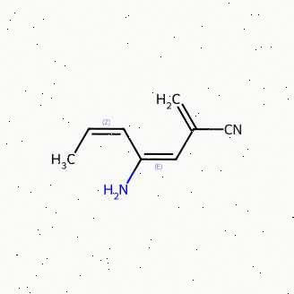 C=C(C#N)/C=C(N)\C=C/C